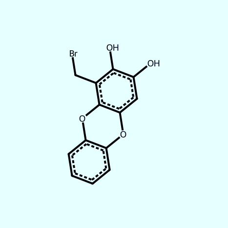 Oc1cc2c(c(CBr)c1O)Oc1ccccc1O2